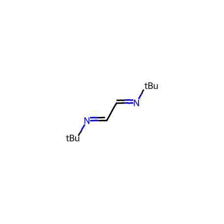 CC(C)(C)N=CC=NC(C)(C)C